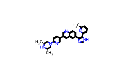 Cc1cccc(-c2[nH]cnc2-c2ccc3ncc(-c4ccc(N5C[C@@H](C)N[C@@H](C)C5)nc4)cc3c2)n1